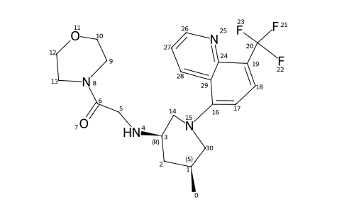 C[C@H]1C[C@@H](NCC(=O)N2CCOCC2)CN(c2ccc(C(F)(F)F)c3ncccc23)C1